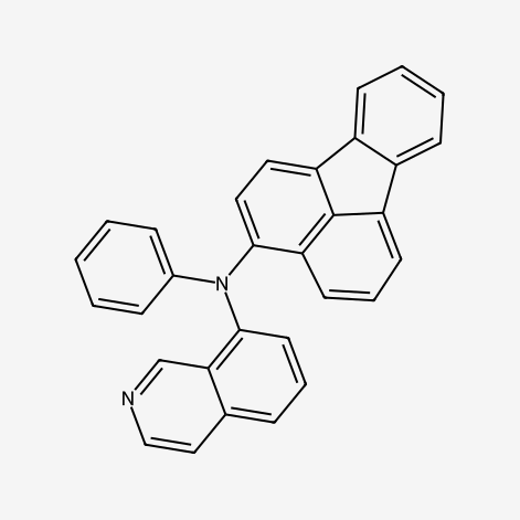 c1ccc(N(c2cccc3ccncc23)c2ccc3c4c(cccc24)-c2ccccc2-3)cc1